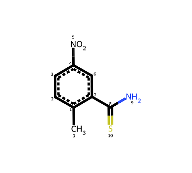 Cc1ccc([N+](=O)[O-])cc1C(N)=S